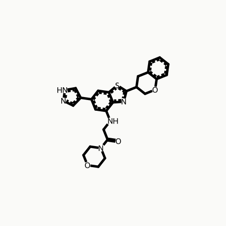 O=C(CNc1cc(-c2cn[nH]c2)cc2sc(C3COc4ccccc4C3)nc12)N1CCOCC1